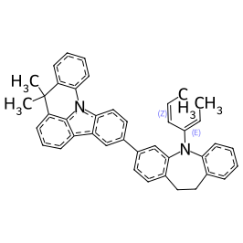 C/C=C\C(=C/C)N1c2ccccc2CCc2ccc(-c3ccc4c(c3)c3cccc5c3n4-c3ccccc3C5(C)C)cc21